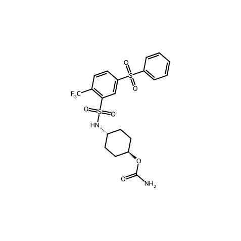 NC(=O)O[C@H]1CC[C@H](NS(=O)(=O)c2cc(S(=O)(=O)c3ccccc3)ccc2C(F)(F)F)CC1